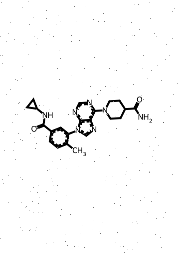 Cc1ccc(C(=O)NC2CC2)cc1-n1cnc2c(N3CCC(C(N)=O)CC3)ncnc21